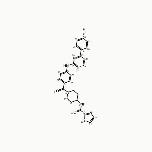 O=C(NC1CCN(C(=O)c2ccc(Nc3nccc(-c4ccc(Cl)cc4)n3)cc2)CC1)c1cccs1